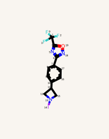 FC(F)(F)c1nc(-c2ccc(C3CN(I)C3)cc2)no1